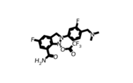 CN(C)Cc1ccc(N2Cc3cc(F)cc(C(N)=O)c3N2OC(=O)C(F)(F)F)cc1F